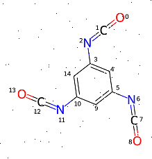 O=C=Nc1cc(N=C=O)cc(N=C=O)c1